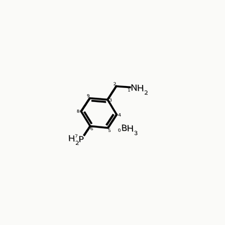 B.NCc1ccc(P)cc1